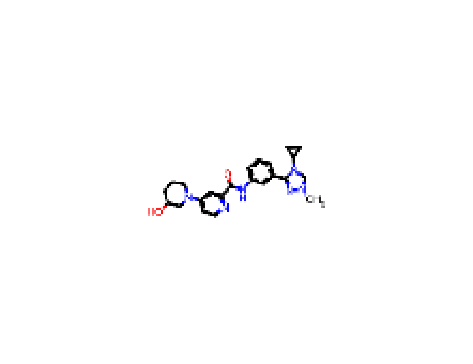 CN1CN(C2CC2)C(c2cccc(NC(=O)c3cc(N4CCCC(O)C4)ccn3)c2)=N1